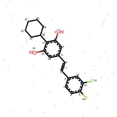 Oc1cc(/C=C/c2ccc(F)c(F)c2)cc(O)c1C1CCCCC1